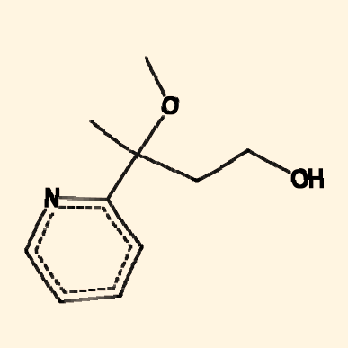 COC(C)(CCO)c1ccccn1